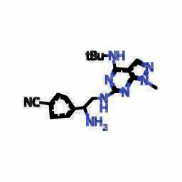 Cn1ncc2c(NC(C)(C)C)nc(NCC(N)c3ccc(C#N)cc3)nc21